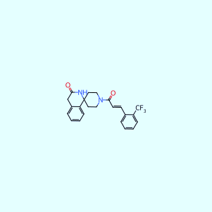 O=C1Cc2ccccc2C2(CCN(C(=O)C=Cc3ccccc3C(F)(F)F)CC2)N1